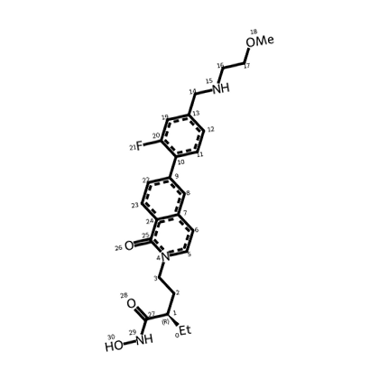 CC[C@H](CCn1ccc2cc(-c3ccc(CNCCOC)cc3F)ccc2c1=O)C(=O)NO